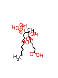 C/C=C/C=C/C=C/C(O)CC(OP(=O)(O)O)C(C)(O)/C=C/C(O)C/C=C/C(=O)O